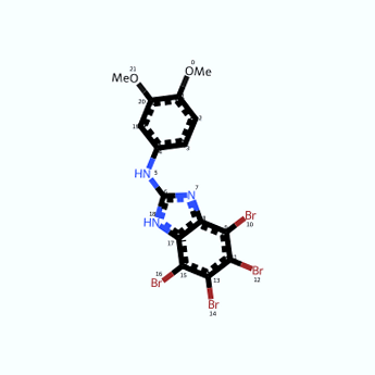 COc1ccc(Nc2nc3c(Br)c(Br)c(Br)c(Br)c3[nH]2)cc1OC